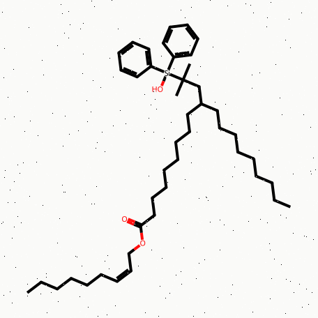 CCCCCC/C=C\COC(=O)CCCCCCCCC(CCCCCCCCC)CC(C)(C)[Si](O)(c1ccccc1)c1ccccc1